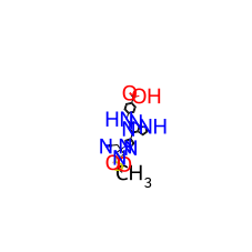 CCS(=O)(=O)N1CC(CC#N)(n2cc(-c3nc(Nc4ccc(C(=O)O)cc4)nc4[nH]ccc34)cn2)C1